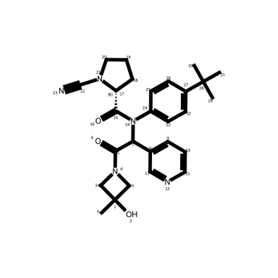 CC1(O)CN(C(=O)C(c2cccnc2)N(C(=O)[C@H]2CCCN2C#N)c2ccc(C(C)(C)C)cc2)C1